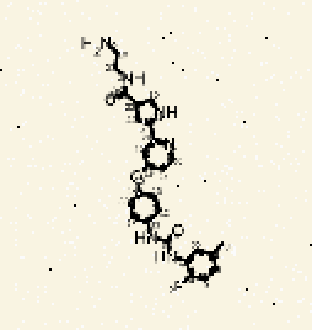 Cc1ccc(F)c(NC(=O)Nc2ccc(Oc3ccnc(-c4cc(C(=O)NCCN)c[nH]4)c3)cc2)c1